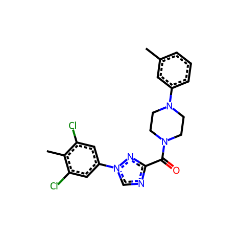 Cc1cccc(N2CCN(C(=O)c3ncn(-c4cc(Cl)c(C)c(Cl)c4)n3)CC2)c1